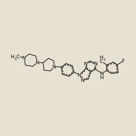 Cc1cc(F)ccc1Nc1ncnc2c1cnn2-c1ccc(N2CCC(N3CCN(C)CC3)CC2)cc1